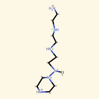 CCN(CCNCCNCCN)N1CCNCC1